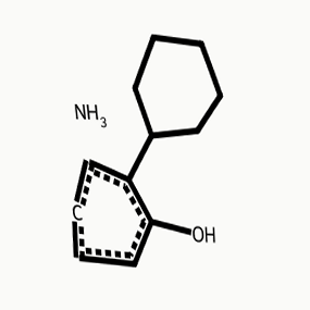 N.Oc1ccccc1C1CCCCC1